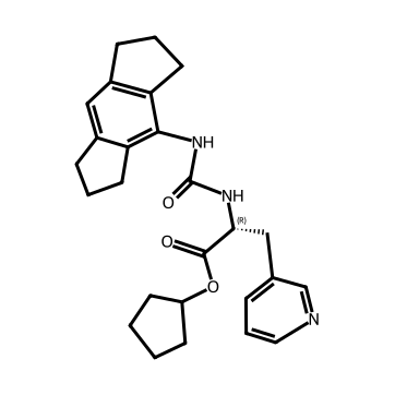 O=C(Nc1c2c(cc3c1CCC3)CCC2)N[C@H](Cc1cccnc1)C(=O)OC1CCCC1